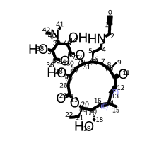 C#CCNCC[C@H]1C[C@@H](C)C(=O)/C=C/C(C)=C/[C@H](CO)[C@@H](CC)OC(=O)C[C@@H](O)[C@H](C)[C@H]1O[C@@H]1O[C@H](C)C(O)C(N(C)C)C1O